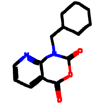 O=c1oc(=O)n(CC2CCCCC2)c2ncccc12